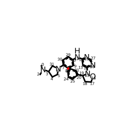 CN(C)C1CCN(c2ccc(Nc3cc(N4OCCC4c4ccccc4)ncn3)cc2)C1